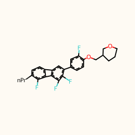 CCCc1ccc2c(c1F)-c1c-2cc(-c2ccc(OCC3CCCOC3)c(F)c2)c(F)c1F